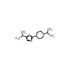 CC(C)c1cnc(C2CCN(C(C)C)CC2)s1